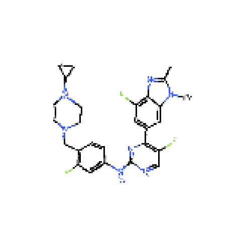 Cc1nc2c(F)cc(-c3nc(Nc4ccc(CN5CCN(C6CC6)CC5)c(F)c4)ncc3F)cc2n1C(C)C